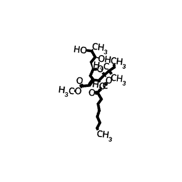 CCCCCCCC(=O)O[C@H]1/C(=C/C(=O)OC)C[C@@H](C[C@@H](O)[C@@H](C)O)O[C@@]1(OC)C(C)(C)CC